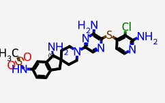 CS(=O)(=O)Nc1ccc2c(c1)[C@@H](N)C1(CCN(c3cnc(Sc4ccnc(N)c4Cl)c(N)n3)CC1)C2